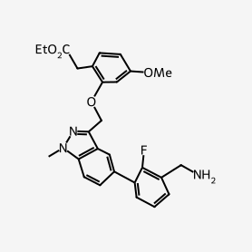 CCOC(=O)Cc1ccc(OC)cc1OCc1nn(C)c2ccc(-c3cccc(CN)c3F)cc12